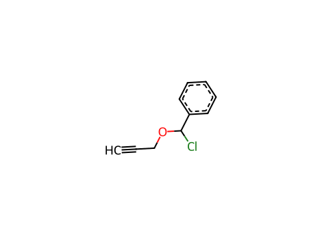 C#CCOC(Cl)c1ccccc1